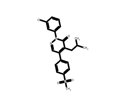 CC(C)Cc1c(-c2ccc(S(C)(=O)=O)cc2)cnn(-c2cccc(Cl)c2)c1=O